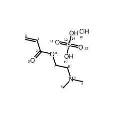 C=CC(=O)OCCN(C)C.Cl.O=S(=O)(O)O